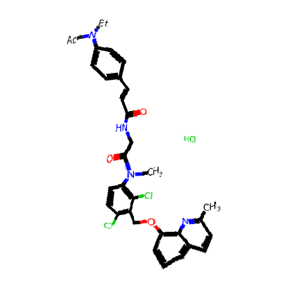 CCN(C(C)=O)c1ccc(/C=C/C(=O)NCC(=O)N(C)c2ccc(Cl)c(COc3cccc4ccc(C)nc34)c2Cl)cc1.Cl